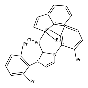 CC(C)c1cccc(C(C)C)c1N1C=CN(c2c(C(C)C)cccc2C(C)C)[CH]1[Pd]([Cl])[C]1(C(C)(C)C)C=Cc2ccccc21